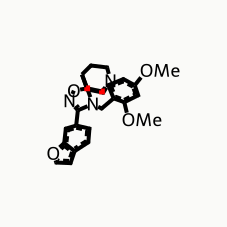 COc1ccc(CN2C(c3ccc4ccoc4c3)=NOC23CN2CCC3CC2)c(OC)c1